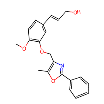 COc1ccc(/C=C/CO)cc1OCc1nc(-c2ccccc2)oc1C